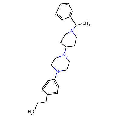 CCCc1ccc(N2CCN(C3CCN(C(C)c4ccccc4)CC3)CC2)cc1